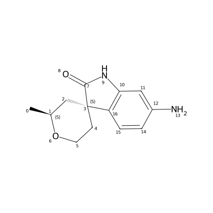 C[C@H]1C[C@]2(CCO1)C(=O)Nc1cc(N)ccc12